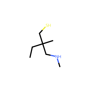 CCC(C)(CS)CNC